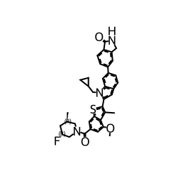 COc1cc(C(=O)N2C[C@H](C)C[C@@H](F)C2)cc2sc(-c3cc4ccc(-c5ccc6c(c5)CNC6=O)cc4n3CC3CC3)c(C)c12